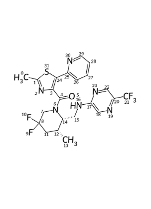 Cc1nc(C(=O)N2CC(F)(F)C[C@@H](C)[C@H]2CNc2cnc(C(F)(F)F)cn2)c(-c2ccccn2)s1